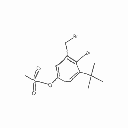 CC(C)(C)c1cc(OS(C)(=O)=O)cc(CBr)c1Br